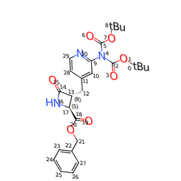 CC(C)(C)OC(=O)N(C(=O)OC(C)(C)C)c1cc(C[C@H]2C(=O)N[C@@H]2C(=O)OCc2ccccc2)ccn1